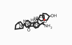 NC(=O)c1ccc(C(=O)NC2CC3CCC(C2)N3c2ccc(C(=O)NC3CCCC3)cn2)cc1N[C@H]1CC[C@H](O)CC1